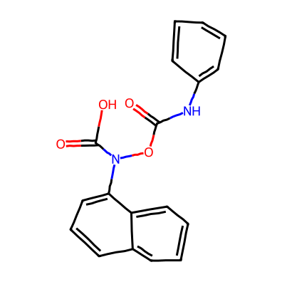 O=C(Nc1ccccc1)ON(C(=O)O)c1cccc2ccccc12